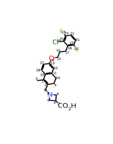 CC1=C(CN2CC(C(=O)O)C2)CCc2cc(OCCCc3c(F)ccc(F)c3Cl)ccc21